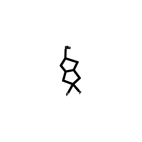 CC(C)(C)C1CC2CC(F)(F)CC2C1